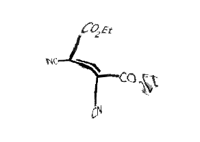 CCOC(=O)C(C#N)=C(C#N)C(=O)OCC